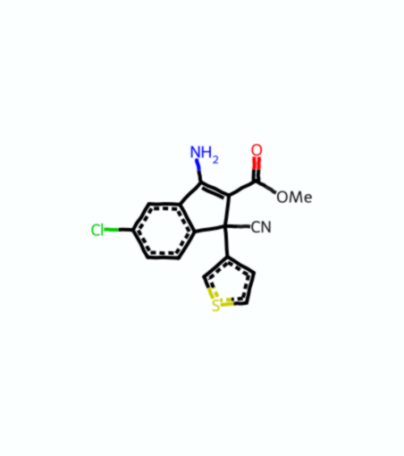 COC(=O)C1=C(N)c2cc(Cl)ccc2C1(C#N)c1ccsc1